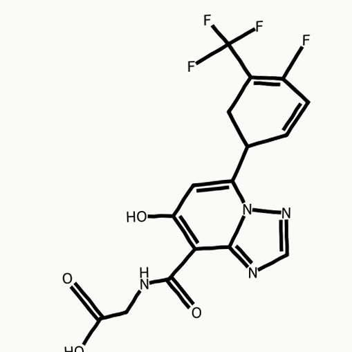 O=C(O)CNC(=O)c1c(O)cc(C2C=CC(F)=C(C(F)(F)F)C2)n2ncnc12